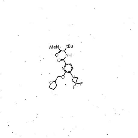 CNC(=O)C(NC(=O)c1ccc(N2CC(F)(F)C2)c(OCC2CCCO2)n1)C(C)(C)C